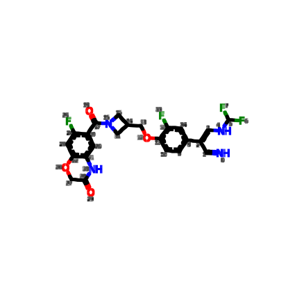 N=C/C(=C\NC(F)F)c1ccc(OCC2CN(C(=O)c3cc4c(cc3F)OCC(=O)N4)C2)c(F)c1